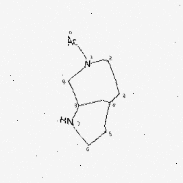 CC(=O)N1CCC2CCNC2C1